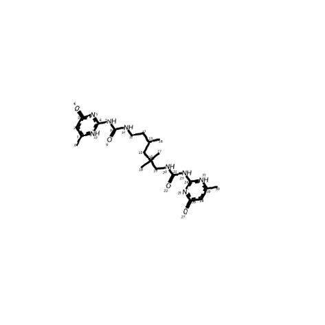 Cc1cc(=O)nc(NC(=O)NCCC(C)CC(C)(C)CNC(=O)Nc2nc(=O)cc(C)[nH]2)[nH]1